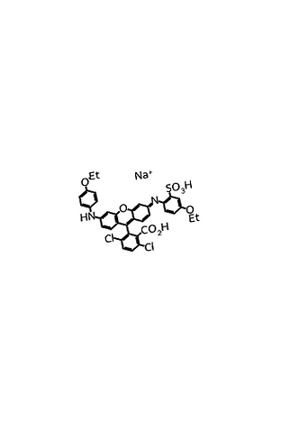 CCOc1ccc(Nc2ccc3c(-c4c(Cl)ccc(Cl)c4C(=O)O)c4ccc(=Nc5ccc(OCC)cc5S(=O)(=O)O)cc-4oc3c2)cc1.[Na+]